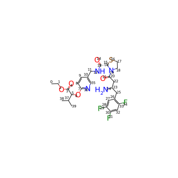 CCOC(=O)C(Oc1ccc(CNC(=O)[C@@H]2SCCN2C(=O)CC(N)Cc2cc(F)c(F)cc2F)cn1)C(C)C